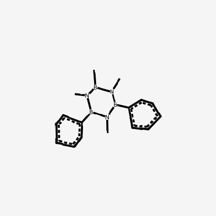 CB1N(C)B(c2ccccc2)N(C)B(c2ccccc2)N1C